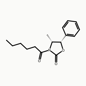 CCCCCC(=O)N1C(=O)O[C@@H](c2ccccc2)[C@H]1C